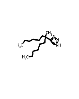 CCCCCCC(C)(CCCCCC)c1c[nH]nn1